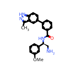 COc1cccc([C@H](CN)NC(=O)c2cccc(-c3ccc4[nH]nc(C)c4c3)c2)c1